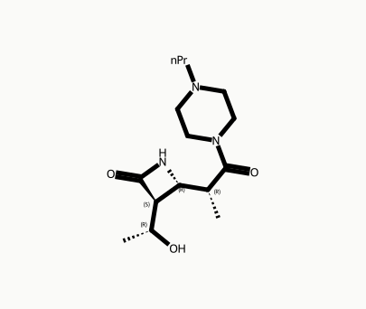 CCCN1CCN(C(=O)[C@H](C)[C@H]2NC(=O)[C@@H]2[C@@H](C)O)CC1